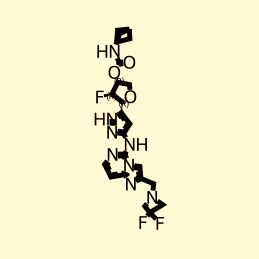 O=C(NC12CC(C1)C2)O[C@@H]1CO[C@H](c2cc(Nc3nccc4nc(CN5CC(F)(F)C5)cn34)n[nH]2)[C@H]1F